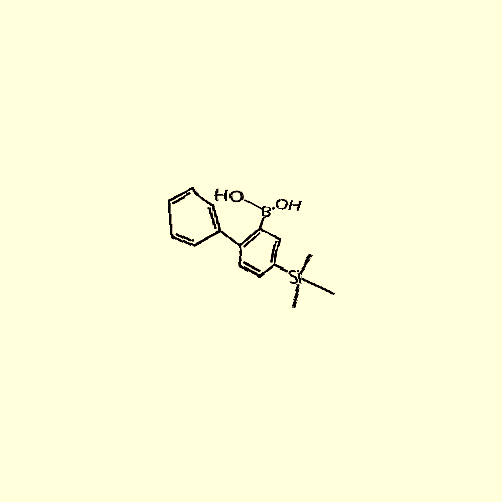 C[Si](C)(C)c1ccc(-c2ccccc2)c(B(O)O)c1